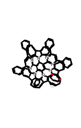 C1#CCc2c(c3ccccc3n2-c2c(-n3c4c(c5ccccc53)C=CCC4)c(-c3nc(-c4ccccc4)cc(-c4ccccc4)n3)c(-n3c4ccccc4c4ccccc43)c(-c3nc(-c4ccccc4)cc(-c4ccccc4)n3)c2-n2c3ccccc3c3ccccc32)/C=C\C1